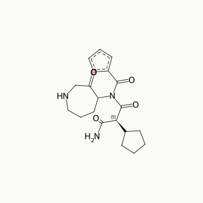 NC(=O)[C@@H](C(=O)N(C(=O)c1ccco1)C1CCCNCC1=O)C1CCCC1